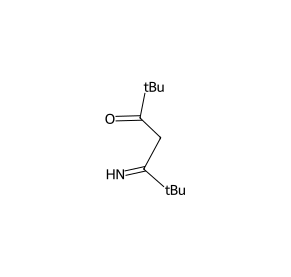 CC(C)(C)C(=N)CC(=O)C(C)(C)C